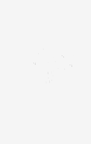 Cc1nccc(-c2cccc(N)c2)n1.Cl.Cl.Cl